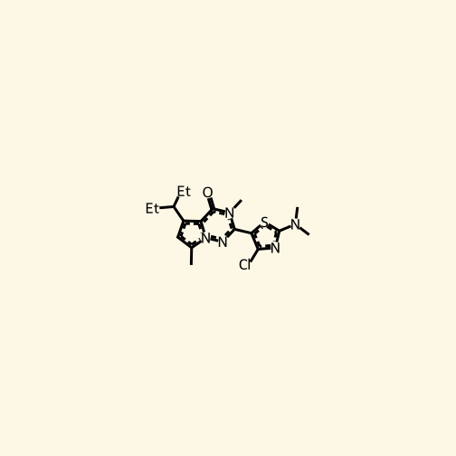 CCC(CC)c1cc(C)n2nc(-c3sc(N(C)C)nc3Cl)n(C)c(=O)c12